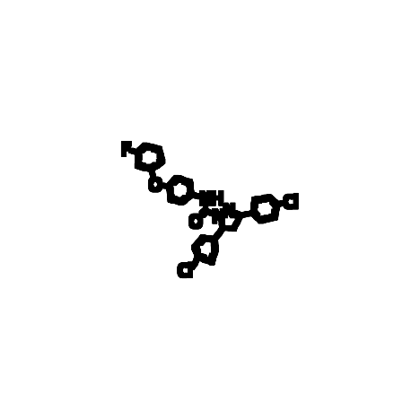 O=C(Nc1ccc(Oc2cccc(F)c2)cc1)N1N=C(c2ccc(Cl)cc2)CC1c1ccc(Cl)cc1